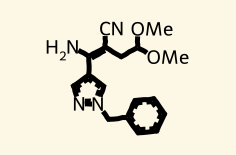 COC(CC(C#N)=C(N)c1cnn(Cc2ccccc2)c1)OC